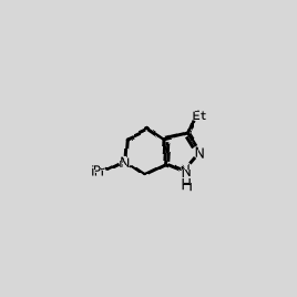 CCc1n[nH]c2c1CCN(C(C)C)C2